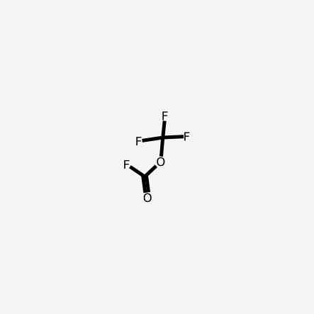 O=C(F)OC(F)(F)F